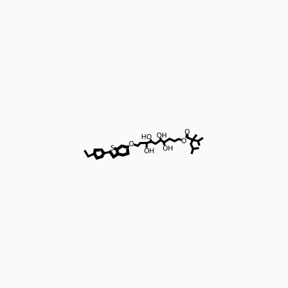 CCc1ccc(-c2cc3ccc(OCCC(O)C(O)CC(O)C(O)CCCOC(=O)C(C)(CC(C)C)C(C)C)cc3s2)cc1